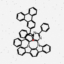 C1=C(c2ccc3c4ccccc4c4ccccc4c3c2)CCC(n2c3ccccc3c3ccc4c5ccccc5n(-c5nc(-c6ccccc6)nc(-c6ccccc6)n5)c4c32)=C1c1ccccc1